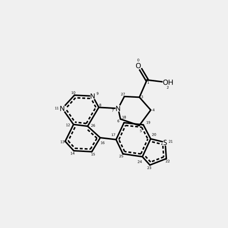 O=C(O)C1CCCN(c2ncnc3cccc(-c4ccc5sccc5c4)c23)C1